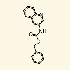 O=C(Nc1cnc2ccccc2c1)OCc1ccccc1